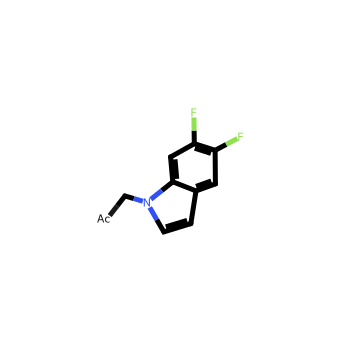 CC(=O)Cn1ccc2cc(F)c(F)cc21